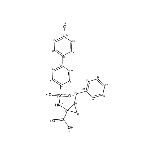 O=C(O)C1(NS(=O)(=O)c2ccc(-c3ccc(Cl)cc3)cc2)CC1Cc1ccccc1